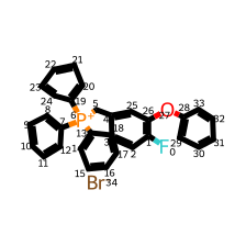 Fc1ccc(C[P+](c2ccccc2)(c2ccccc2)c2ccccc2)cc1Oc1ccccc1.[Br-]